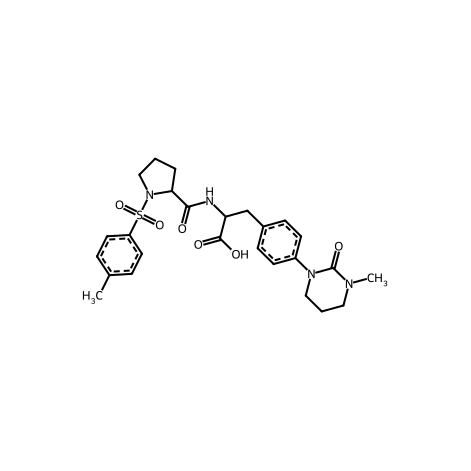 Cc1ccc(S(=O)(=O)N2CCCC2C(=O)NC(Cc2ccc(N3CCCN(C)C3=O)cc2)C(=O)O)cc1